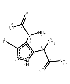 CC(C)c1n[nH]c(N(N)C(N)=O)c1N(N)C(N)=O